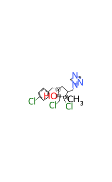 C[C@]1(CCl)C(Cn2cncn2)C[C@@H](Cc2ccc(Cl)cc2)[C@]1(O)CCl